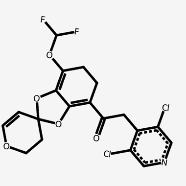 O=C(Cc1c(Cl)cncc1Cl)C1=C2OC3(C=COCC3)OC2=C(OC(F)F)CC1